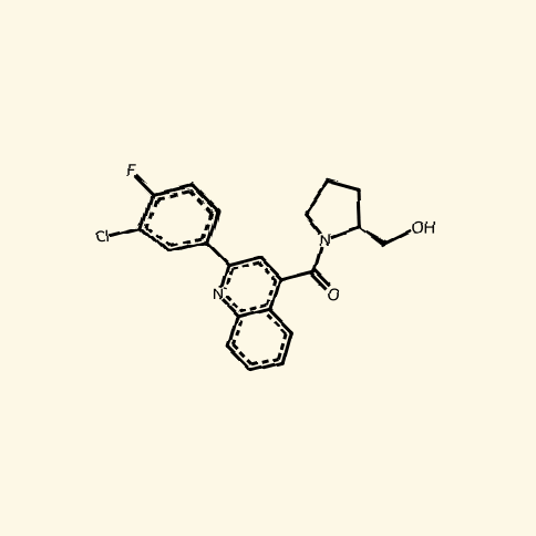 O=C(c1cc(-c2ccc(F)c(Cl)c2)nc2ccccc12)N1CCC[C@H]1CO